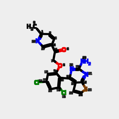 Cc1ccc(C(=O)COc2cc(Cl)cc(Cl)c2-c2nc(N)nc3sccc23)cn1